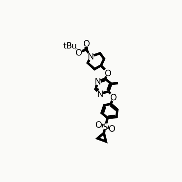 Cc1c(Oc2ccc(S(=O)(=O)C3CC3)cc2)ncnc1OC1CCN(C(=O)OC(C)(C)C)CC1